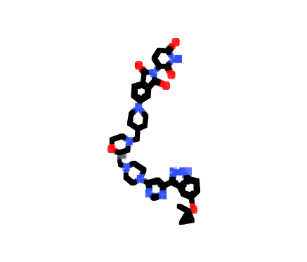 CC1(Oc2ccc3[nH]nc(-c4cc(N5CCN(C[C@H]6CN(CC7CCN(c8ccc9c(c8)C(=O)N(C8CCC(=O)NC8=O)C9=O)CC7)CCO6)CC5)ncn4)c3c2)CC1